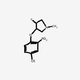 CN1CC(F)C(Oc2ccc(C#N)cc2[N+](=O)[O-])C1